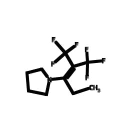 CCC(=C(C(F)(F)F)C(F)(F)F)N1CCCC1